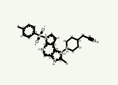 Cc1ccc(S(=O)(=O)n2ccc3c2ncc2nc(C)n(N4CCC(CC#N)CC4)c23)cc1